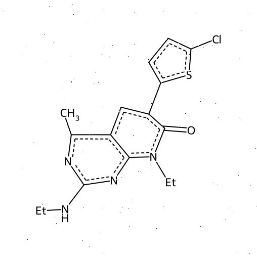 CCNc1nc(C)c2cc(-c3ccc(Cl)s3)c(=O)n(CC)c2n1